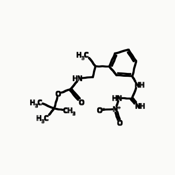 CC(CNC(=O)OC(C)(C)C)c1cccc(NC(=N)N[N+](=O)[O-])c1